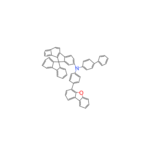 c1ccc(-c2ccc(N(c3ccc(-c4cccc5c4oc4ccccc45)cc3)c3ccc4c(c3)C3(c5ccccc5-c5ccccc53)c3c-4ccc4ccccc34)cc2)cc1